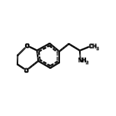 CC(N)Cc1ccc2c(c1)OCCO2